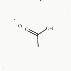 CC(=O)O.[Cr]